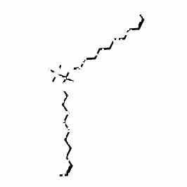 CCCCCCCC/C=C\CCCCCCCCOC(CC)(OCCCCCCCC/C=C\CCCCCCCC)[N+](C)(C)C.[Cl-]